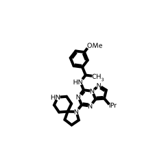 COc1cccc(C(C)Nc2nc(N3CCCC34CCNCC4)nc3c(C(C)C)cnn23)c1